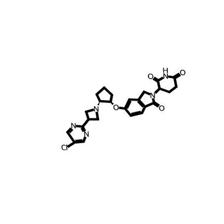 O=C1CCC(N2Cc3cc(O[C@@H]4CCC[C@H]4N4CC(c5ncc(Cl)cn5)C4)ccc3C2=O)C(=O)N1